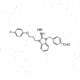 Br.N=c1n(CCCOc2ccc(F)cc2)c2ccccc2n1Cc1ccc(C=O)cc1